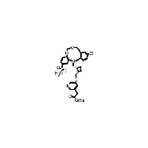 COC(=O)Cc1cncc(OC[C@@H]2CC[C@H]2CN2Cc3ccc(Cl)cc3CCCCOc3ccc(S(N)(=O)=O)cc32)c1